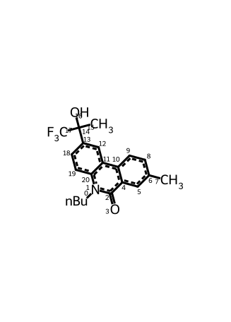 CCCCn1c(=O)c2cc(C)ccc2c2cc(C(C)(O)C(F)(F)F)ccc21